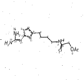 CC(=O)OCC(=O)NCCCCc1csc(N=C(N)N)n1